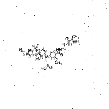 CCc1cc(Nc2nccn3c(-c4cn(CC#N)nc4C(F)(F)F)cnc23)ccc1C(=O)NCCNC(=O)[C@@H](C)N.O=CO